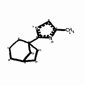 Cc1csc(C23CCCC(CC2)C3)n1